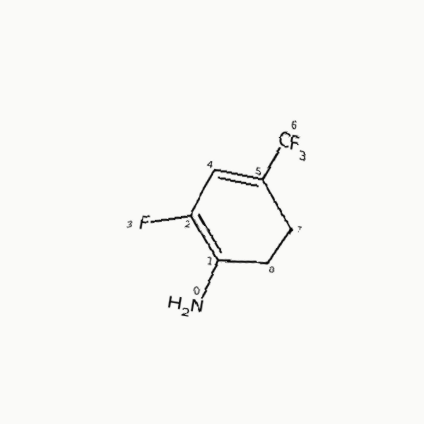 NC1=C(F)C=C(C(F)(F)F)CC1